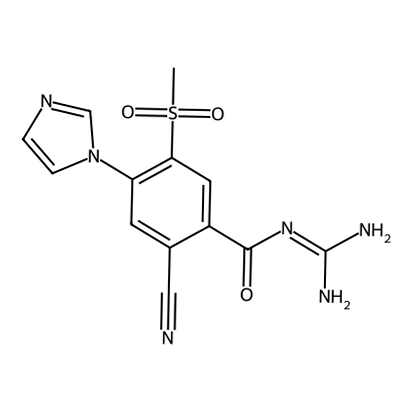 CS(=O)(=O)c1cc(C(=O)N=C(N)N)c(C#N)cc1-n1ccnc1